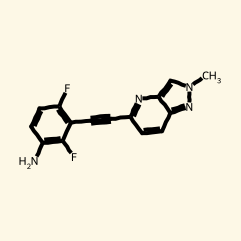 Cn1cc2nc(C#Cc3c(F)ccc(N)c3F)ccc2n1